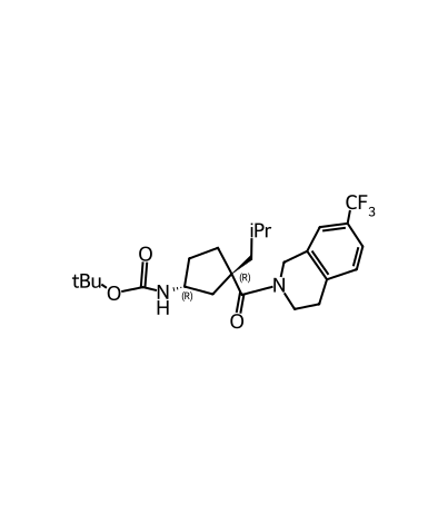 CC(C)C[C@]1(C(=O)N2CCc3ccc(C(F)(F)F)cc3C2)CC[C@@H](NC(=O)OC(C)(C)C)C1